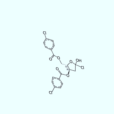 O=C(OC[C@@H]1OC(O)(Cl)C[C@H]1OC(=O)c1ccc(Cl)cc1)c1ccc(Cl)cc1